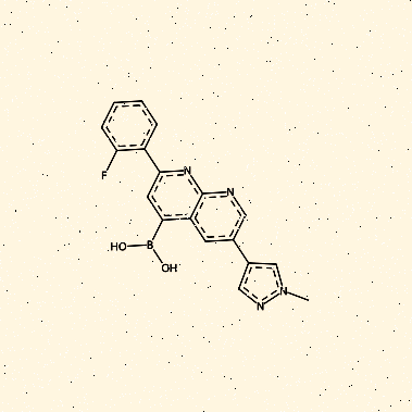 Cn1cc(-c2cnc3nc(-c4ccccc4F)cc(B(O)O)c3c2)cn1